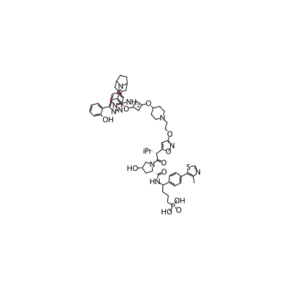 Cc1ncsc1-c1ccc(C(CCCP(=O)(O)O)NC(=O)[C@@H]2C[C@@H](O)CN2C(=O)[C@@H](c2cc(OCCN3CCC(OC4CC(Oc5cc(N6C7CCC6CN(c6cc(-c8ccccc8O)nnc6N)C7)ccn5)C4)CC3)no2)C(C)C)cc1